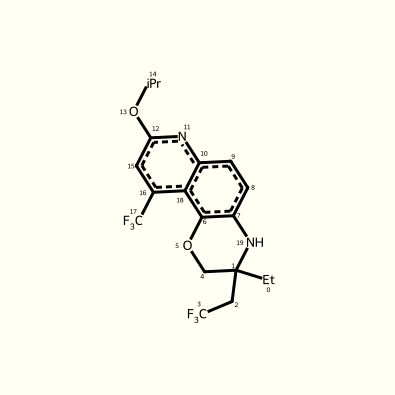 CCC1(CC(F)(F)F)COc2c(ccc3nc(OC(C)C)cc(C(F)(F)F)c23)N1